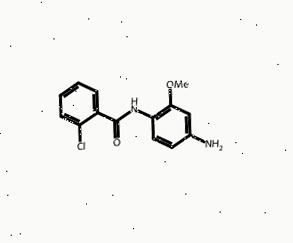 COc1cc(N)ccc1NC(=O)c1ccccc1Cl